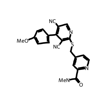 CNC(=O)c1cc(CSc2ncc(C#N)c(-c3ccc(OC)cc3)c2C#N)ccn1